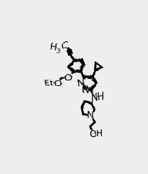 CC#Cc1ccc(-c2nnc(N[C@@H]3CCCN(CCO)C3)cc2C2CC2)c(OCOCC)c1